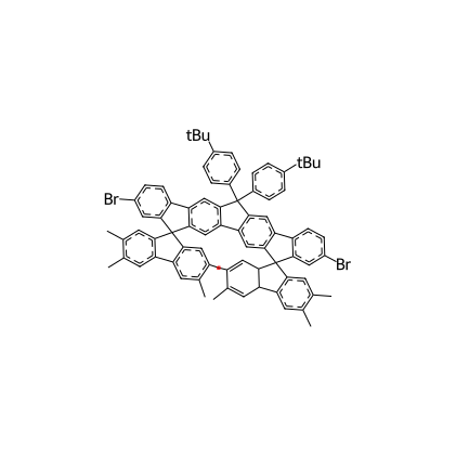 CC1=CC2c3cc(C)c(C)cc3C3(c4cc(Br)ccc4-c4cc5c(cc43)-c3cc4c(cc3C5(c3ccc(C(C)(C)C)cc3)c3ccc(C(C)(C)C)cc3)-c3ccc(Br)cc3C43c4cc(C)c(C)cc4-c4cc(C)c(C)cc43)C2C=C1C